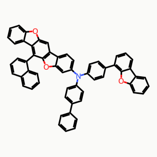 c1ccc(-c2ccc(N(c3ccc(-c4cccc5c4oc4ccccc45)cc3)c3ccc4c(c3)oc3c(-c5cccc6ccccc56)c5c(cc34)oc3ccccc35)cc2)cc1